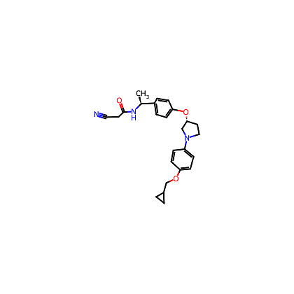 C[C@H](NC(=O)CC#N)c1ccc(O[C@@H]2CCN(c3ccc(OCC4CC4)cc3)C2)cc1